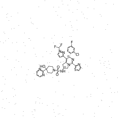 O=S(=O)(N[C@H]1CC2=C(c3ccn(C(F)F)n3)[C@H](c3ccc(F)cc3Cl)N=C(c3nccs3)N2C1)N1CCC(O)(c2ncccn2)CC1